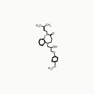 COc1ccc(OCC(O)CN2CCC(=O)N(CC=C(C)C)Cc3ccccc32)cc1